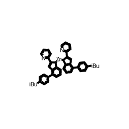 CCC(C)c1ccc(-c2cccc3c2C=C(c2ccccn2)[CH]3[Zr][CH]2C(c3ccccn3)=Cc3c(-c4ccc(C(C)CC)cc4)cccc32)cc1